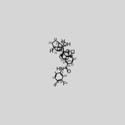 O=C(Nc1ccc(F)c(F)c1)c1ccc(Cl)c(S(=O)(=O)[C@@H]2C[C@H]3CC[C@@H](C2)[C@@]3(O)[C@H](O)c2cccnc2)c1